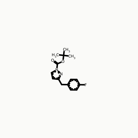 CC(C)(C)OC(=O)n1ccc(Cc2ccc(F)cc2)n1